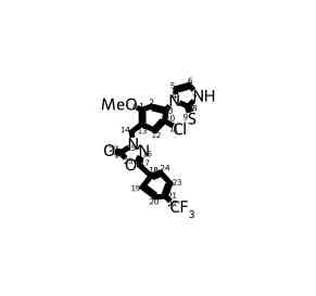 COc1cc(-n2cc[nH]c2=S)c(Cl)cc1Cn1nc(-c2ccc(C(F)(F)F)cc2)oc1=O